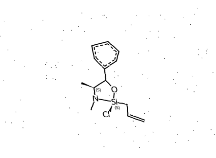 C=CC[Si@@]1(Cl)OC(c2ccccc2)[C@H](C)N1C